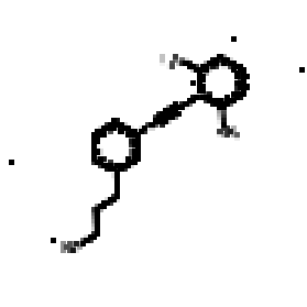 Cc1cccc(C)c1C#Cc1cccc(CCCO)c1